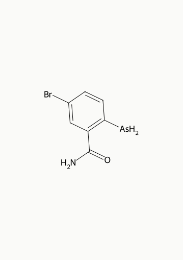 NC(=O)c1cc(Br)ccc1[AsH2]